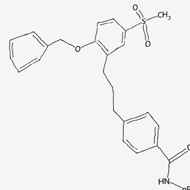 CCCNC(=O)c1ccc(CCCc2cc(S(C)(=O)=O)ccc2OCc2ccccc2)cc1